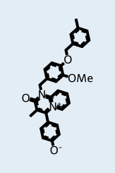 COc1cc(Cn2c(=O)c(C)c(-c3ccc([O-])cc3)[n+]3ccccc23)ccc1OCc1cccc(C)c1